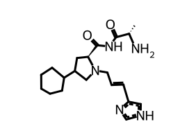 C[C@H](N)C(=O)NC(=O)[C@@H]1CC(C2CCCCC2)CN1C/C=C/c1c[nH]cn1